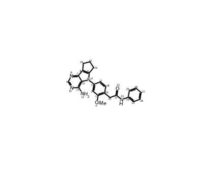 COc1cc(-n2c3c(c4ncnc(N)c42)CCC3)ccc1CC(=O)Nc1ccccc1